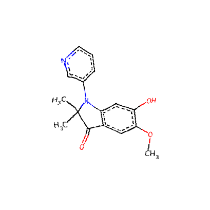 COc1cc2c(cc1O)N(c1cccnc1)C(C)(C)C2=O